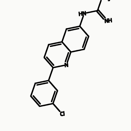 CC(=N)Nc1ccc2nc(-c3cccc(Cl)c3)ccc2c1